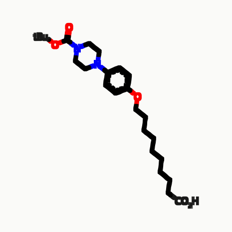 CC(C)(C)OC(=O)N1CCN(c2ccc(OCCCCCCCCCC(=O)O)cc2)CC1